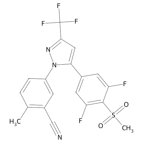 Cc1ccc(-n2nc(C(F)(F)F)cc2-c2cc(F)c(S(C)(=O)=O)c(F)c2)cc1C#N